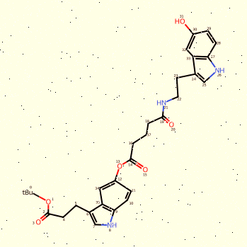 CC(C)(C)OC(=O)CCc1c[nH]c2ccc(OC(=O)CCCC(=O)NCCc3c[nH]c4ccc(O)cc34)cc12